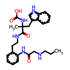 CCCNCC(=O)Nc1ccccc1CCNC(=O)C(C)(Cc1c[nH]c2ccccc12)NC(=O)O